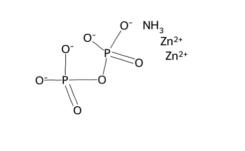 N.O=P([O-])([O-])OP(=O)([O-])[O-].[Zn+2].[Zn+2]